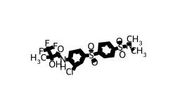 CN(C)S(=O)(=O)c1ccc(S(=O)(=O)c2ccc(NC(=O)C(C)(O)C(F)(F)F)c(Cl)c2)cc1